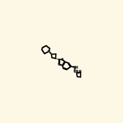 C1CCC1.O=C(O)Nc1ccc2nc([C@H]3C[C@H](N4CCCCC4)C3)sc2c1